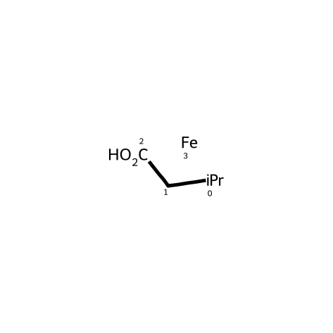 CC(C)CC(=O)O.[Fe]